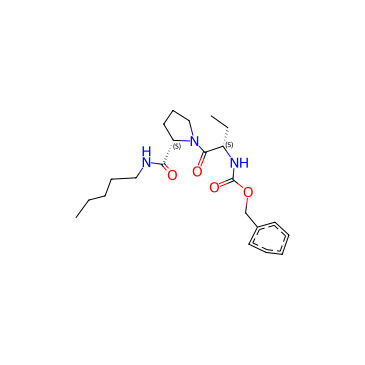 CCCCCNC(=O)[C@@H]1CCCN1C(=O)[C@H](CC)NC(=O)OCc1ccccc1